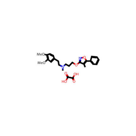 COc1ccc(CCN(C)CCCOc2noc(-c3ccccc3)c2C)cc1OC.O=C(O)C(=O)O